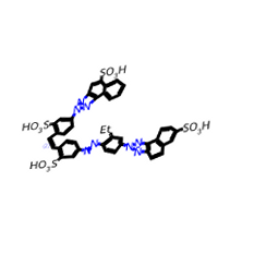 CCc1cc(-n2n3c4ccc5cc(S(=O)(=O)O)ccc5c4n23)ccc1N=Nc1ccc(/C=C\c2ccc(-n3n4c5cc(S(=O)(=O)O)c6ccccc6c5n34)cc2S(=O)(=O)O)c(S(=O)(=O)O)c1